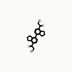 O=C(CBr)c1ccc(-c2ccc(C(=O)CBr)c3c2CCC3)c2c1CCC2